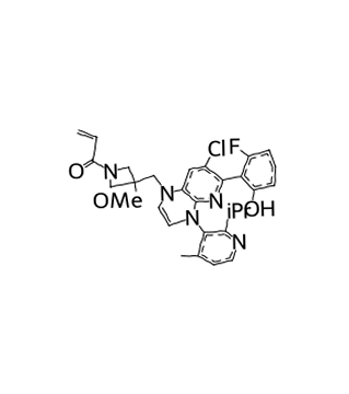 C=CC(=O)N1CC(CN2C=CN(c3c(C)ccnc3C(C)C)c3nc(-c4c(O)cccc4F)c(Cl)cc32)(OC)C1